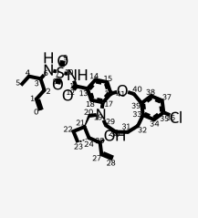 C=CCC(CC)NS(=O)(=O)NC(=O)c1ccc2c(c1)N(C[C@@H]1CC[C@H]1[C@@H](O)C=C)CCCCc1cc(Cl)ccc1CO2